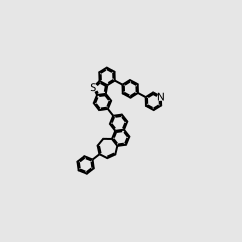 C1=Cc2ccc3ccc(-c4ccc5sc6cccc(-c7ccc(-c8cccnc8)cc7)c6c5c4)cc3c2CC=C1c1ccccc1